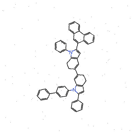 C1=C(C2=Cc3cc(-c4cc5ccccc5c5ccccc45)n(-c4ccccc4)c3CC2)CCc2cc(-c3ccccc3)n(-c3ccc(-c4ccccc4)cc3)c21